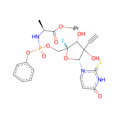 C#CC1(O)[C@@H](O)[C@@](F)(COP(=O)(N[C@@H](C)C(=O)OC(C)C)Oc2ccccc2)O[C@H]1n1ccc(=O)[nH]c1=S